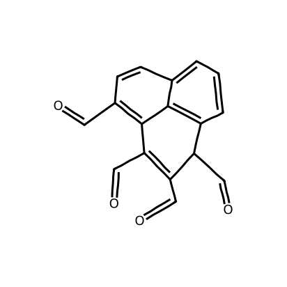 O=CC1=C(C=O)C(C=O)c2cccc3ccc(C=O)c1c23